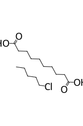 CCCCCCl.O=C(O)CCCCCCCCC(=O)O